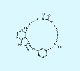 CN1CCCCCC(=O)N(C)CCCNc2ncnc3c2/C(=C/Nc2cccc(c2)C1)C(=O)N3